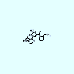 Cc1c[nH]c2ncnc(N3C=C(C(=O)N4CCCC[C@@H]4CN)SCC3)c12.Cl